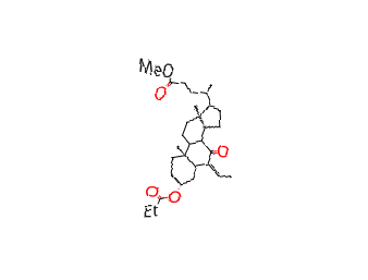 C/C=C1\C(=O)C2C(CC[C@@]3(C)C2CCC3[C@H](C)CCC(=O)OC)[C@@]2(C)CC[C@@H](OC(=O)CC)CC12